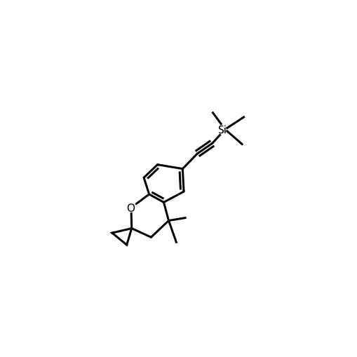 CC1(C)CC2(CC2)Oc2ccc(C#C[Si](C)(C)C)cc21